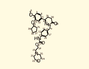 COc1ccc(C2=NN(Cc3ccc(NC(=O)OCCN4CCOCC4)cc3)C(=O)CC2)cc1OC1CCCC1